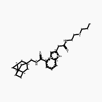 CCCOCCNC(=O)Cc1cn2c(C(=O)NCC34CC5CC(C3)C53CC3C4)cccc2n1